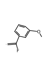 [CH]=C(F)c1cccc(OC)c1